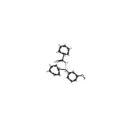 COc1cccc([C@@H](CC(=O)c2ccccc2)c2ccccc2)c1